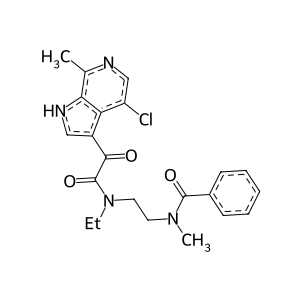 CCN(CCN(C)C(=O)c1ccccc1)C(=O)C(=O)c1c[nH]c2c(C)ncc(Cl)c12